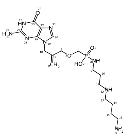 C=C(COCP(=O)(O)NCCCNCCCCN)Cn1cnc2c(=O)[nH]c(N)nc21